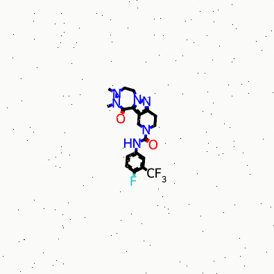 CN1CCn2nc3c(c2C(=O)N1C)CN(C(=O)Nc1ccc(F)c(C(F)(F)F)c1)CC3